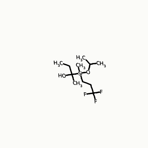 CCC(C)(O)[Si](C)(CCC(F)(F)F)OC(C)C